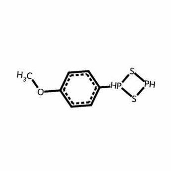 COc1ccc([PH]2SPS2)cc1